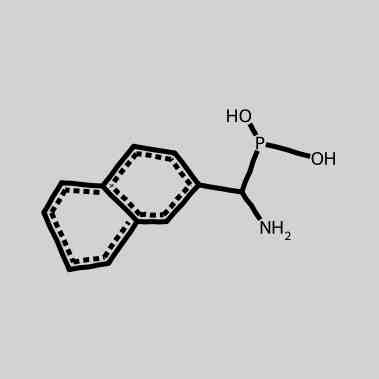 NC(c1ccc2ccccc2c1)P(O)O